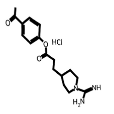 CC(=O)c1ccc(OC(=O)CCC2CCN(C(=N)N)CC2)cc1.Cl